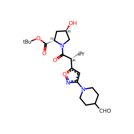 CC(C)[C@@H](C(=O)N1C[C@H](O)C[C@H]1C(=O)OC(C)(C)C)c1cc(N2CCC(C=O)CC2)no1